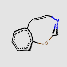 C1=Cc2ccccc2SC=N1